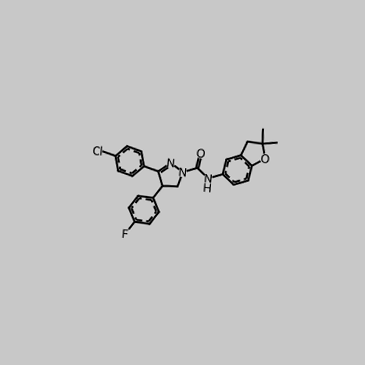 CC1(C)Cc2cc(NC(=O)N3CC(c4ccc(F)cc4)C(c4ccc(Cl)cc4)=N3)ccc2O1